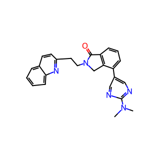 CN(C)c1ncc(-c2cccc3c2CN(CCc2ccc4ccccc4n2)C3=O)cn1